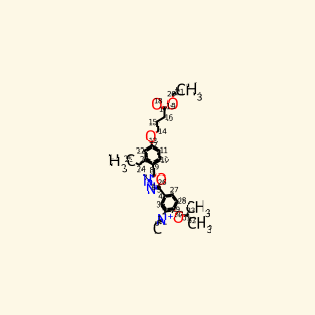 [C-]#[N+]c1cc(-c2nnc(-c3ccc(OCCCC(=O)OCC)cc3CC)o2)ccc1OC(C)C